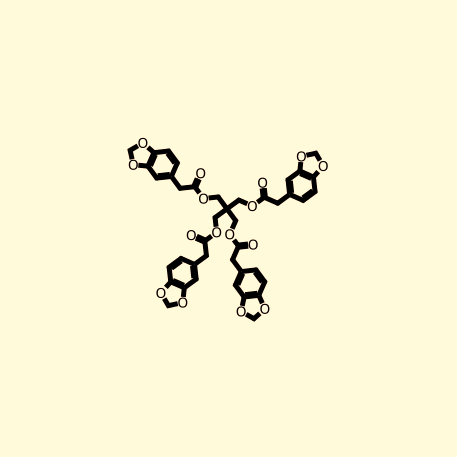 O=C(Cc1ccc2c(c1)OCO2)OCC(COC(=O)Cc1ccc2c(c1)OCO2)(COC(=O)Cc1ccc2c(c1)OCO2)COC(=O)Cc1ccc2c(c1)OCO2